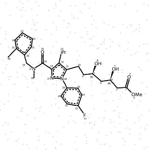 COC(=O)C[C@H](O)C[C@H](O)CCc1c(C(C)C)c(C(=O)N(C)Cc2ccccc2C)nn1-c1ccc(F)cc1